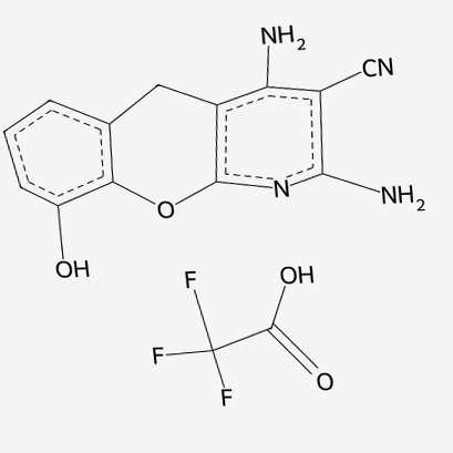 N#Cc1c(N)nc2c(c1N)Cc1cccc(O)c1O2.O=C(O)C(F)(F)F